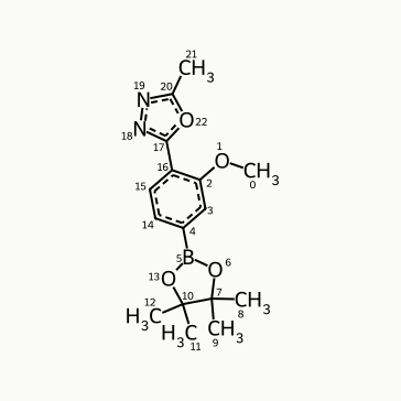 COc1cc(B2OC(C)(C)C(C)(C)O2)ccc1-c1nnc(C)o1